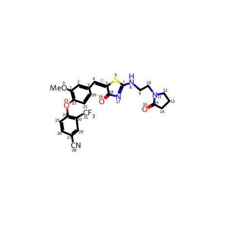 COc1cc(/C=C2/SC(NCCN3CCCC3=O)=NC2=O)ccc1Oc1ccc(C#N)cc1C(F)(F)F